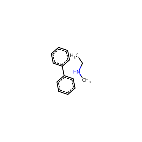 CCNC.c1ccc(-c2ccccc2)cc1